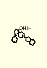 Cl.O[C@H]1CCN(c2ccccc2)C12CCN(C1Cc3ccccc3C1)CC2